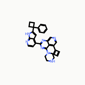 C1=CC(c2cncc3nc(-c4ccnc5[nH]c(C6(c7ccccc7)CCC6)cc45)nc(N4CCNCC4)c23)=C1